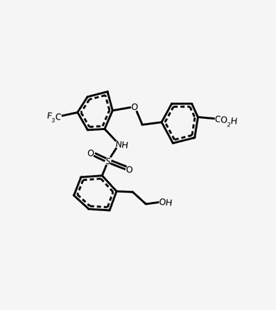 O=C(O)c1ccc(COc2ccc(C(F)(F)F)cc2NS(=O)(=O)c2ccccc2CCO)cc1